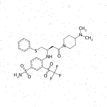 CN(C)C1CCN(C(=O)C[C@H](CSc2ccccc2)Nc2ccc(S(N)(=O)=O)cc2S(=O)(=O)C(F)(F)F)CC1